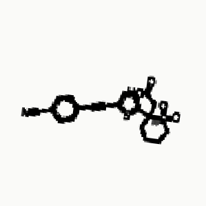 N#Cc1ccc(C#Cc2ccc([C@@]3(CC(=O)O)CCCCS3(=O)=O)s2)cc1